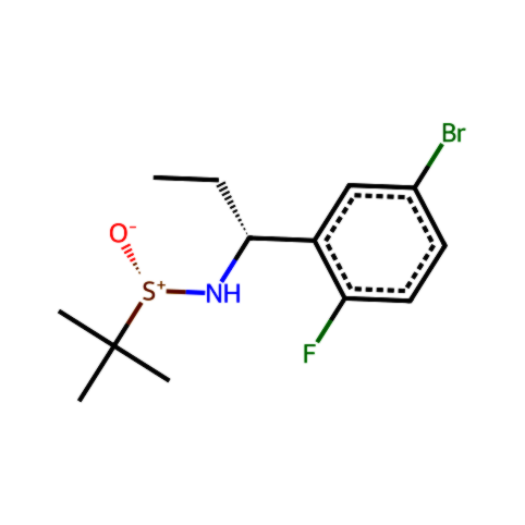 CC[C@@H](N[S@@+]([O-])C(C)(C)C)c1cc(Br)ccc1F